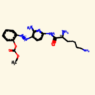 COC(=O)Oc1ccccc1/N=N/c1ccc(NC(=O)[C@@H](N)CCCCN)nc1N